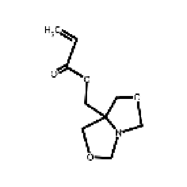 C=CC(=O)OCC12COCN1COC2